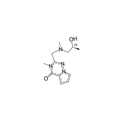 C[C@H](O)CN(C)Cc1nn2cccc2c(=O)n1C